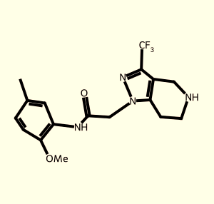 COc1ccc(C)cc1NC(=O)Cn1nc(C(F)(F)F)c2c1CCNC2